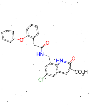 O=C(Cc1ccccc1Oc1ccccc1)NCc1cc(Cl)cc2cc(C(=O)O)c(=O)[nH]c12